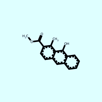 COC(=O)c1ccc2cc3ccccc3c(O)c2c1C